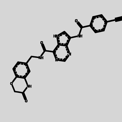 N#Cc1ccc(C(=O)Nc2c[nH]c3c(C(=O)NCc4ccc5c(c4)NC(=O)CO5)ncnc23)cc1